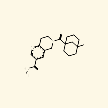 CC12CCCC(C(=O)N3CCc4ncc(C(=O)NO)cc4C3)(CCC1)C2